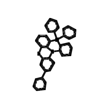 c1ccc(-c2ccc3c(c2)Sc2cccc4c2B3c2ccccc2[Si]4(c2ccccc2)c2ccccc2)cc1